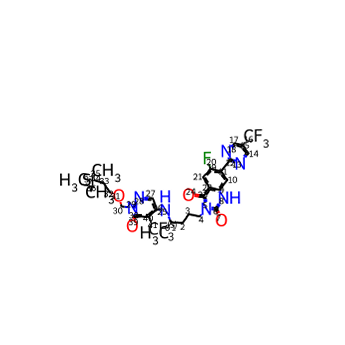 C[C@@H](CCCn1c(=O)[nH]c2cc(-c3ncc(C(F)(F)F)cn3)c(F)cc2c1=O)Nc1cnn(COCC[Si](C)(C)C)c(=O)c1C(F)(F)F